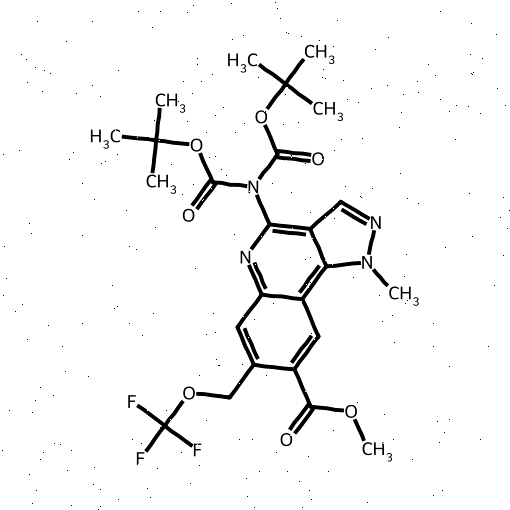 COC(=O)c1cc2c(cc1COC(F)(F)F)nc(N(C(=O)OC(C)(C)C)C(=O)OC(C)(C)C)c1cnn(C)c12